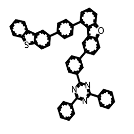 c1ccc(-c2nc(-c3ccccc3)nc(-c3cccc(-c4ccc5oc6cccc(-c7ccc(-c8ccc9sc%10ccccc%10c9c8)cc7)c6c5c4)c3)n2)cc1